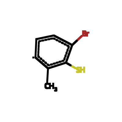 Cc1[c]ccc(Br)c1S